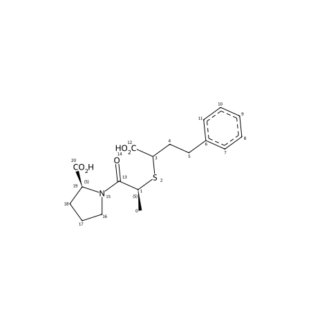 C[C@H](SC(CCc1ccccc1)C(=O)O)C(=O)N1CCC[C@H]1C(=O)O